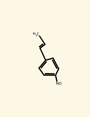 CC=Cc1ccc(N=O)cc1